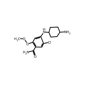 COOc1cc(NC2CCC(N)CC2)c(Cl)cc1C(N)=O